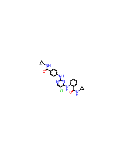 O=C(NC1CC1)c1ccc(Nc2ncc(Cl)c(Nc3ccccc3C(=O)NC3CC3)n2)cc1